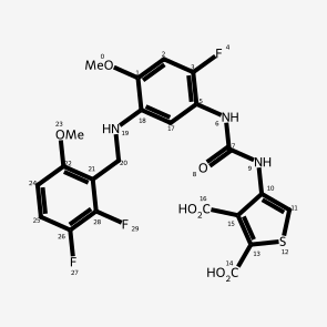 COc1cc(F)c(NC(=O)Nc2csc(C(=O)O)c2C(=O)O)cc1NCc1c(OC)ccc(F)c1F